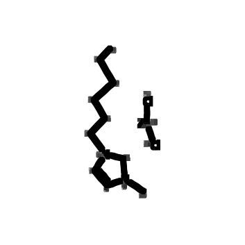 CCCCCCN1C=CN(C)C1.[Cl][Zn][Cl]